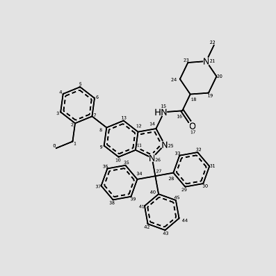 CCc1ccccc1-c1ccc2c(c1)c(NC(=O)C1CCN(C)CC1)nn2C(c1ccccc1)(c1ccccc1)c1ccccc1